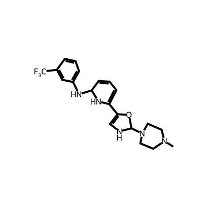 CN1CCN(C2NC=C(C3=CC=CC(Nc4cccc(C(F)(F)F)c4)N3)O2)CC1